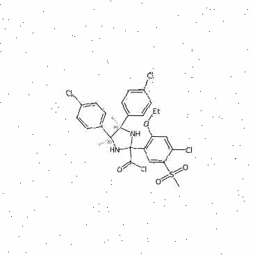 CCOc1cc(Cl)c(S(C)(=O)=O)cc1C1(C(=O)Cl)N[C@@](C)(c2ccc(Cl)cc2)[C@@](C)(c2ccc(Cl)cc2)N1